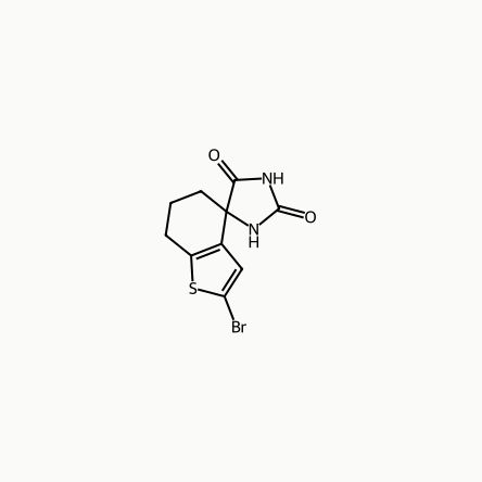 O=C1NC(=O)C2(CCCc3sc(Br)cc32)N1